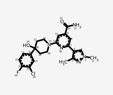 Cc1nn(C)cc1-c1cc(C(N)=O)cc(N2CCC(O)(c3ccc(F)c(Cl)c3)CC2)n1